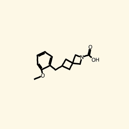 COc1ccccc1CC1CC2(C1)CN(C(=O)O)C2